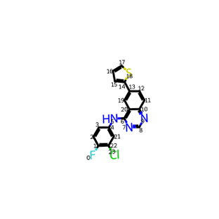 Fc1ccc(Nc2ncnc3ccc(-c4cccs4)cc23)cc1Cl